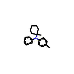 Cc1ccc(N(c2ccccc2)C2(C)CCCCC2)cc1